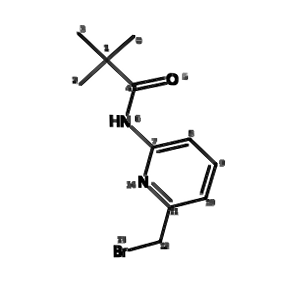 CC(C)(C)C(=O)Nc1cccc(CBr)n1